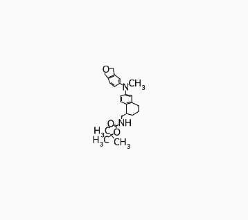 CN(c1ccc2c(c1)COC2)c1ccc2c(c1)CCC[C@H]2CNC(=O)OC(C)(C)C